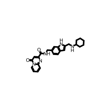 O=C(NCc1ccc2cc(CNC3CCCCC3)[nH]c2c1)c1cc(=O)n2ccccc2n1